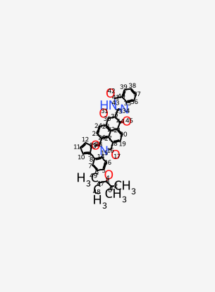 CC(C)C(Oc1ccc(C2=CC=CC2)c(N2C(=O)c3ccc4c5c(ccc(c35)C2=O)C(=O)C(c2nc3ccccc3c(=O)[nH]2)C4=O)c1)C(C)C